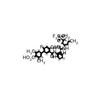 C=C/C=C(\C=C(/C)S(=O)(=O)C(F)(F)F)NC(=O)[C@H]1[C@@H]2CC[C@@H](C2)[C@H]1NC(=O)c1cc(-c2cc(C)c(C(=O)O)c(C)c2)c(F)cc1OC